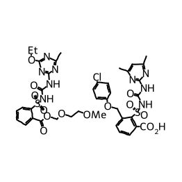 CCOc1nc(C)nc(NC(=O)NS(=O)(=O)c2ccccc2C(=O)OCOCCOC)n1.Cc1cc(C)nc(NC(=O)NS(=O)(=O)c2c(COc3ccc(Cl)cc3)cccc2C(=O)O)n1